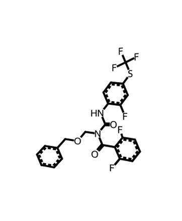 O=C(Nc1ccc(SC(F)(F)F)cc1F)N(COCc1ccccc1)C(=O)c1c(F)cccc1F